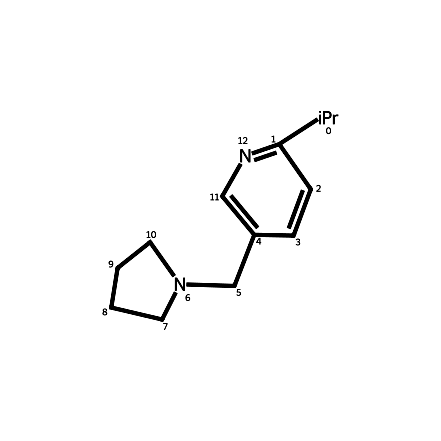 CC(C)c1ccc(CN2CCCC2)cn1